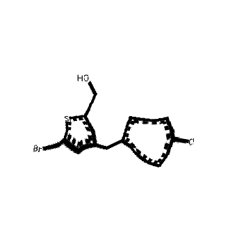 OCc1sc(Br)cc1-c1ccc(Cl)cc1